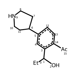 CCC(O)c1cc(C2CCNCC2)ccc1C(C)=O